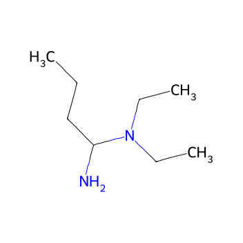 CCCC(N)N(CC)CC